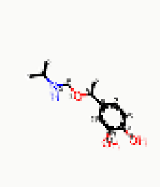 CC(C)NCOC(C)c1ccc(O)c(O)c1